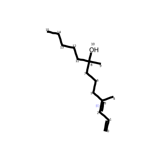 C=C/C=C(\C)CCCC(C)(O)CCCCC